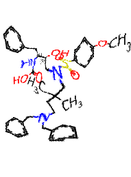 COc1ccc(S(=O)(=O)N(C[C@H](O)[C@H](Cc2ccccc2)NC(=O)O)CC(C)(C)CCN(Cc2ccccc2)Cc2ccccc2)cc1